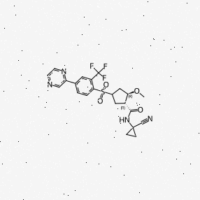 CO[C@@H]1CC(S(=O)(=O)c2ccc(-c3cnccn3)cc2C(F)(F)F)C[C@H]1C(=O)NC1(C#N)CC1